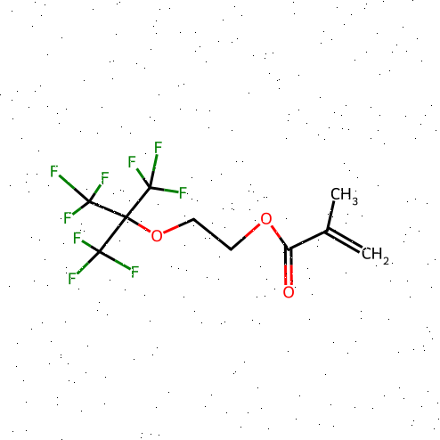 C=C(C)C(=O)OCCOC(C(F)(F)F)(C(F)(F)F)C(F)(F)F